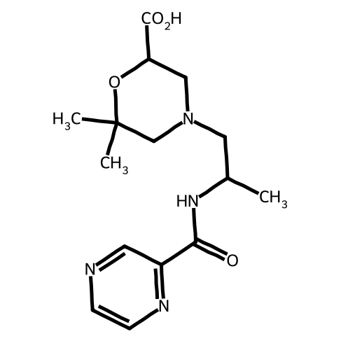 CC(CN1CC(C(=O)O)OC(C)(C)C1)NC(=O)c1cnccn1